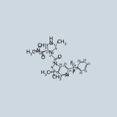 C[C@@H]1CN(CC(=O)N2CC(C)(C)c3cnc(C(F)(F)c4ccccc4)cc32)[C@@H](C(=O)N(C)C)CN1